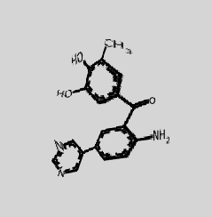 Cc1cc(C(=O)c2cc(-c3cncnc3)ccc2N)cc(O)c1O